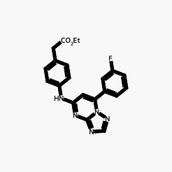 CCOC(=O)Cc1ccc(Nc2cc(-c3cccc(F)c3)n3ncnc3n2)cc1